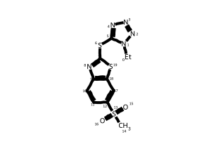 CCn1nnnc1Sc1nc2ccc(S(C)(=O)=O)cc2s1